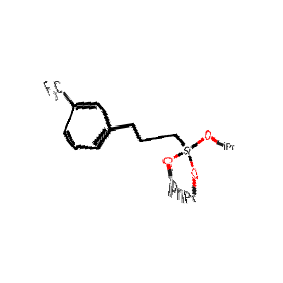 CC(C)O[Si](CCCc1cccc(C(F)(F)F)c1)(OC(C)C)OC(C)C